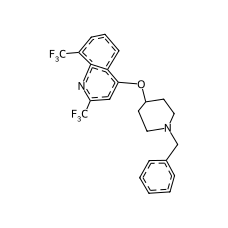 FC(F)(F)c1cc(OC2CCN(Cc3ccccc3)CC2)c2cccc(C(F)(F)F)c2n1